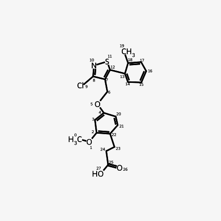 COc1cc(OCc2c(Cl)nsc2-c2ccccc2C)ccc1CCC(=O)O